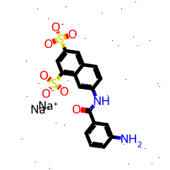 Nc1cccc(C(=O)Nc2ccc3cc(S(=O)(=O)[O-])cc(S(=O)(=O)[O-])c3c2)c1.[Na+].[Na+]